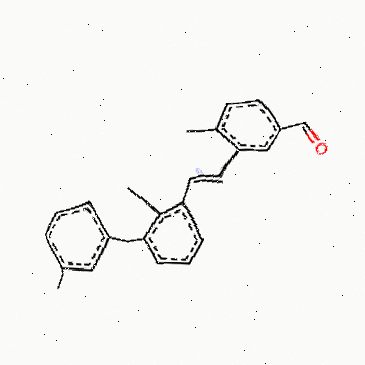 Cc1cccc(-c2cccc(/C=C/c3cc(C=O)ccc3C)c2C)c1